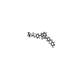 Cc1ccc(Oc2ccc(Nc3ncnc4cc(-c5ccc(CNCCS(C)(=O)=O)cc5)[nH]c34)cc2C)cn1